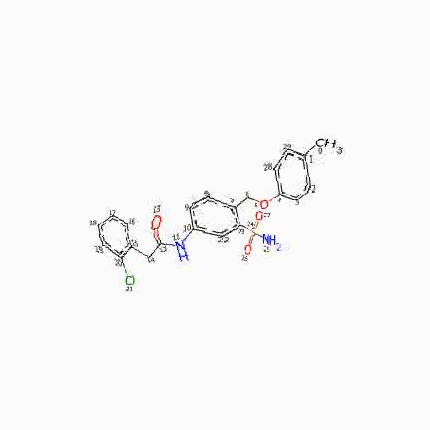 Cc1ccc(OCc2ccc(NC(=O)Cc3ccccc3Cl)cc2S(N)(=O)=O)cc1